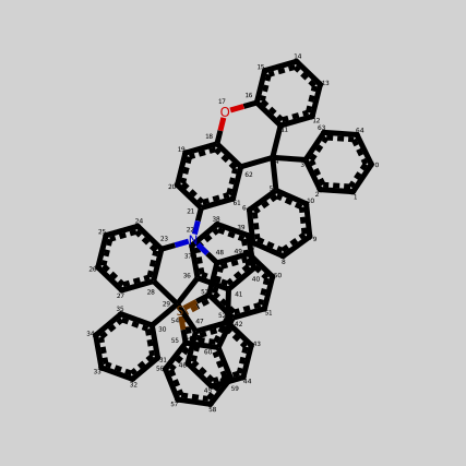 c1ccc(C2(c3ccccc3)c3ccccc3Oc3ccc(N(c4ccccc4C4(c5ccccc5)c5ccccc5-c5ccccc54)c4cccc5c4sc4ccccc45)cc32)cc1